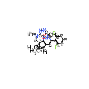 Cc1nnc(N(C[C@@]23CC[C@@H](c4cc(-c5c(F)cccc5F)nnc42)C3(C)C)C(C)C)o1